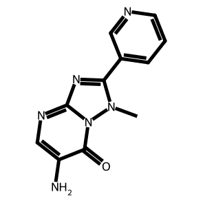 Cn1c(-c2cccnc2)nc2ncc(N)c(=O)n21